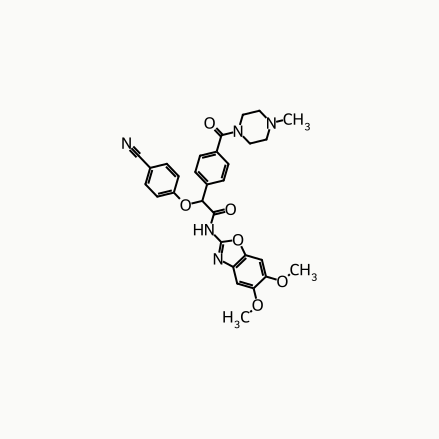 COc1cc2nc(NC(=O)C(Oc3ccc(C#N)cc3)c3ccc(C(=O)N4CCN(C)CC4)cc3)oc2cc1OC